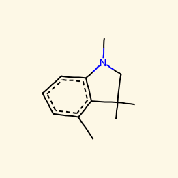 Cc1cccc2c1C(C)(C)CN2C